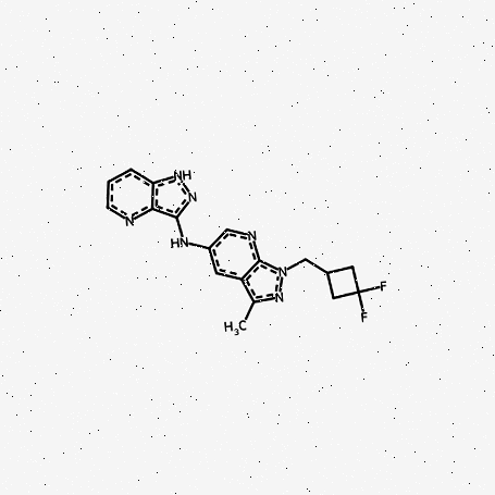 Cc1nn(CC2CC(F)(F)C2)c2ncc(Nc3n[nH]c4cccnc34)cc12